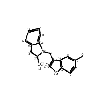 Cc1ccc2scc(CN3c4ccccc4CC3C(=O)O)c2c1